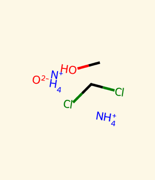 CO.ClCCl.[NH4+].[NH4+].[O-2]